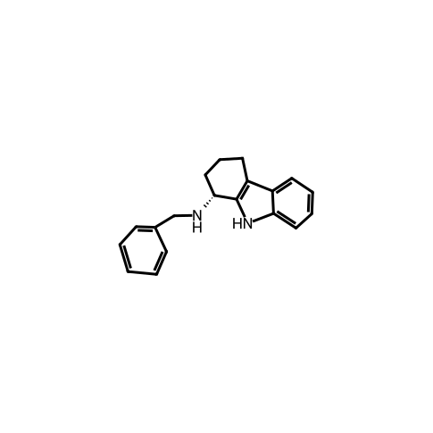 c1ccc(CN[C@@H]2CCCc3c2[nH]c2ccccc32)cc1